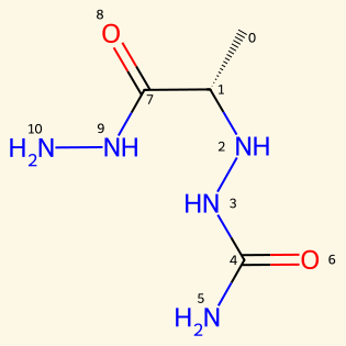 C[C@H](NNC(N)=O)C(=O)NN